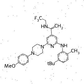 C=C(NCC(F)(F)F)c1cc(Nc2cc(C(C)(C)C)ccc2C)nc(N2CCN(c3ccc(OC)cc3)CC2)c1